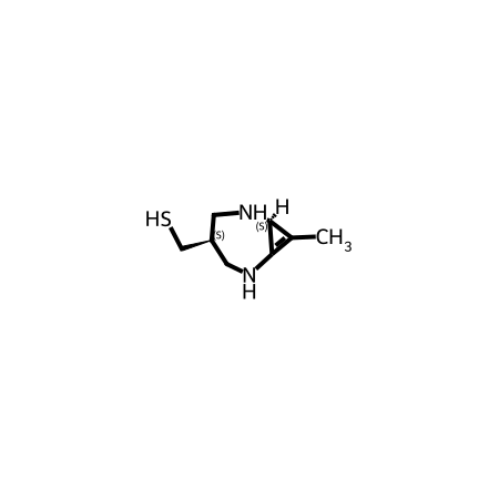 CC1=C2NC[C@@H](CS)CN[C@@H]12